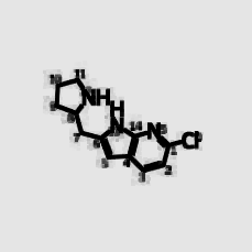 Clc1ccc2cc(CC3CCCN3)[nH]c2n1